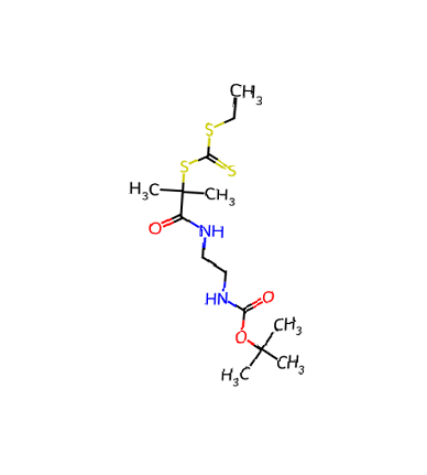 CCSC(=S)SC(C)(C)C(=O)NCCNC(=O)OC(C)(C)C